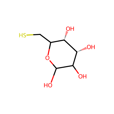 OC1OC(CS)[C@H](O)[C@H](O)C1O